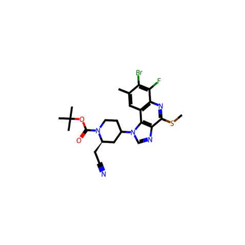 CSc1nc2c(F)c(Br)c(C)cc2c2c1ncn2C1CCN(C(=O)OC(C)(C)C)[C@H](CC#N)C1